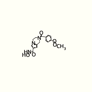 COOc1ccc(C(=O)N2CCn3cc(C(=O)NO)cc3C2)cc1